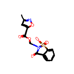 Cc1cc(C(=O)OCN2C(=O)c3ccccc3S2(=O)=O)on1